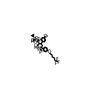 COc1ccc(C2=C(C(=O)NS(=O)(=O)C3CC3)C(=O)N[C@@](c3ccc(OCCCCCC(F)(F)F)cc3)(C(F)(F)F)C2)cc1